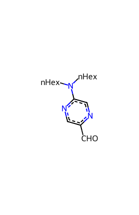 CCCCCCN(CCCCCC)c1cnc(C=O)cn1